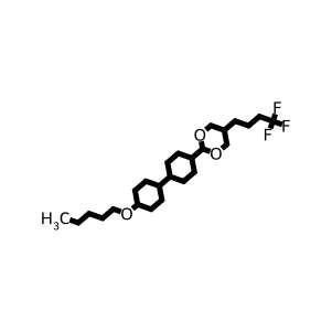 CCCCCOC1CCC(C2CCC(C3OCC(CCCC(F)(F)F)CO3)CC2)CC1